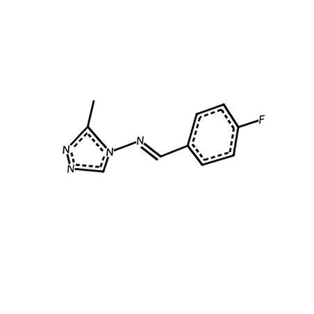 Cc1nncn1N=Cc1ccc(F)cc1